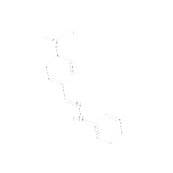 Cc1cccc(N/N=C/c2ccc(N(C)C(C)(C)C)cc2)c1